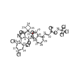 Cc1cn(C(=O)c2c(-c3c(Cl)cc(Cl)cc3Cl)noc2C2(C=O)CCC2)c2cccc(/C=C/C(=O)OCC(Cl)(Cl)Cl)c12